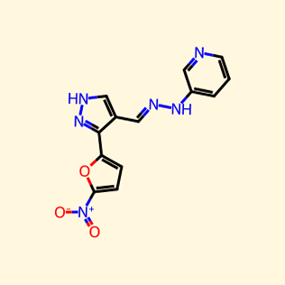 O=[N+]([O-])c1ccc(-c2n[nH]cc2C=NNc2cccnc2)o1